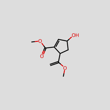 C=C(OC)C1CC(O)C=C1C(=O)OC